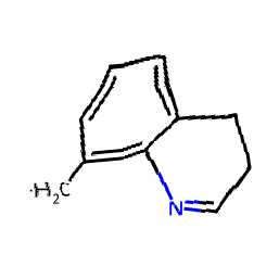 [CH2]c1cccc2c1N=CCC2